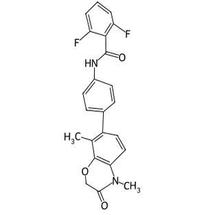 Cc1c(-c2ccc(NC(=O)c3c(F)cccc3F)cc2)ccc2c1OCC(=O)N2C